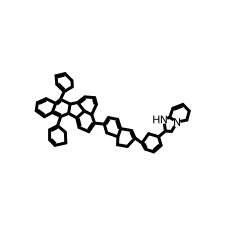 C1=CCCC(C2=c3ccccc3=C(C3=CC=CCC3)C3C4=CC=C(C5=CC=C6C=C(C7=CC=CC(C8CN9CCC=CC9N8)C7)CCC6C5)C5C=CC=C(C45)C23)=C1